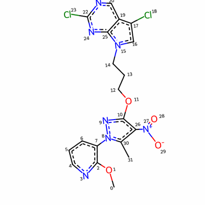 COc1ncccc1-n1nc(OCCCn2cc(Cl)c3cnc(Cl)nc32)c([N+](=O)[O-])c1C